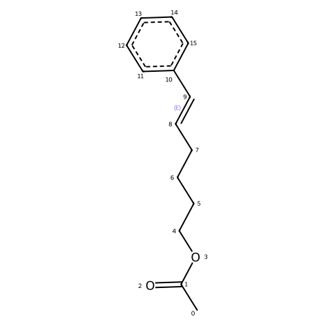 CC(=O)OCCCC/C=C/c1ccccc1